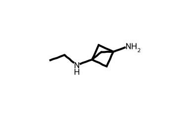 CCNC12CC(N)(C1)C2